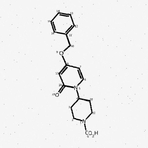 O=C(O)N1CCC(n2ccc(OCc3ccccc3)cc2=O)CC1